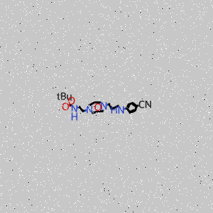 CC(C)(C)OC(=O)NCCN1CC2CN(CCCNc3ccc(C#N)cc3)CC(C1)O2